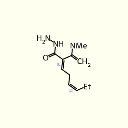 C=C(NC)/C(=C\C/C=C\CC)C(=O)NN